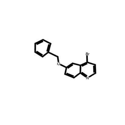 Brc1ccnc2ccc(OCc3ccccc3)cc12